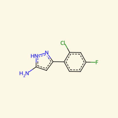 Nc1cc(-c2ccc(F)cc2Cl)n[nH]1